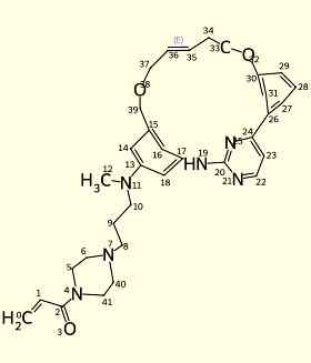 C=CC(=O)N1CCN(CCCN(C)c2cc3cc(c2)Nc2nccc(n2)-c2cccc(c2)OCC/C=C/COC3)CC1